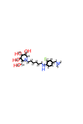 CN(C)Cc1ccc(NCCCCCCN2C[C@H](O)[C@@H](O)[C@H](O)[C@H]2CO)c(F)c1